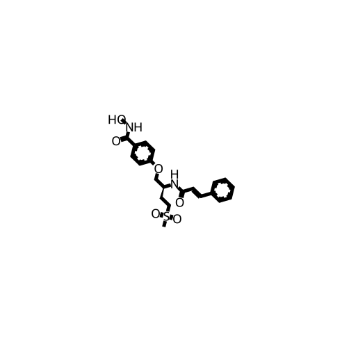 CS(=O)(=O)CC[C@@H](COc1ccc(C(=O)NO)cc1)NC(=O)/C=C/c1ccccc1